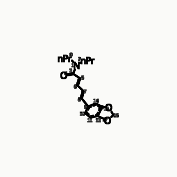 CCCN(CCC)C(=O)C=CC=Cc1ccc2c(c1)OCO2